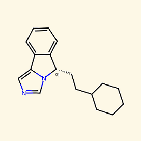 c1ccc2c(c1)-c1cncn1[C@H]2CCC1CCCCC1